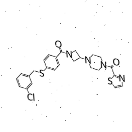 O=C(c1ccc(SCc2cccc(Cl)c2)cc1)N1CC(N2CCN(C(=O)c3nccs3)CC2)C1